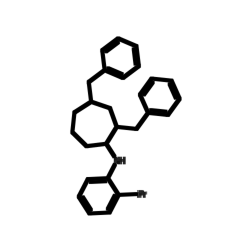 CC(C)c1ccccc1NC1CCCC(Cc2ccccc2)CC1Cc1ccccc1